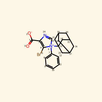 O=C([O-])C1=C(Br)[N+](c2ccccc2)(C23CC4CC(CC(C4)C2)C3)C=N1